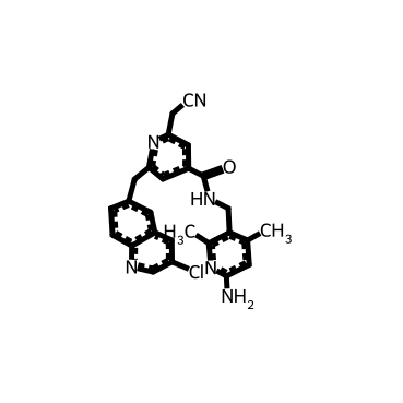 Cc1cc(N)nc(C)c1CNC(=O)c1cc(CC#N)nc(Cc2ccc3ncc(Cl)cc3c2)c1